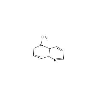 CN1CC=CC2N=CC=CC21